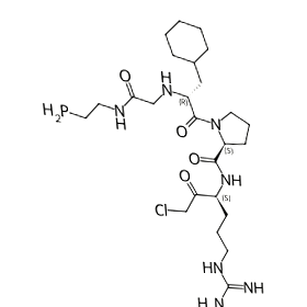 N=C(N)NCCC[C@H](NC(=O)[C@@H]1CCCN1C(=O)[C@@H](CC1CCCCC1)NCC(=O)NCCP)C(=O)CCl